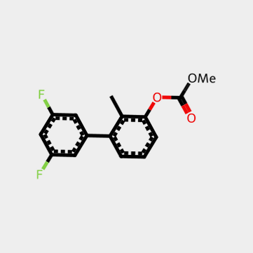 COC(=O)Oc1cccc(-c2cc(F)cc(F)c2)c1C